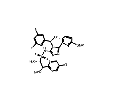 COc1cccc(-c2nnc(NS(=O)(=O)[C@@H](C)[C@H](OC)c3ncc(Cl)cn3)n2[C@H](C)c2cc(F)cc(F)c2)n1